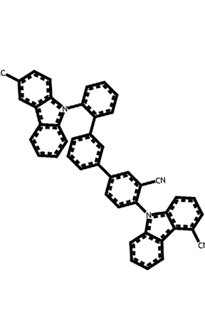 N#Cc1ccc2c(c1)c1ccccc1n2-c1ccccc1-c1cccc(-c2ccc(-n3c4ccccc4c4c(C#N)cccc43)c(C#N)c2)c1